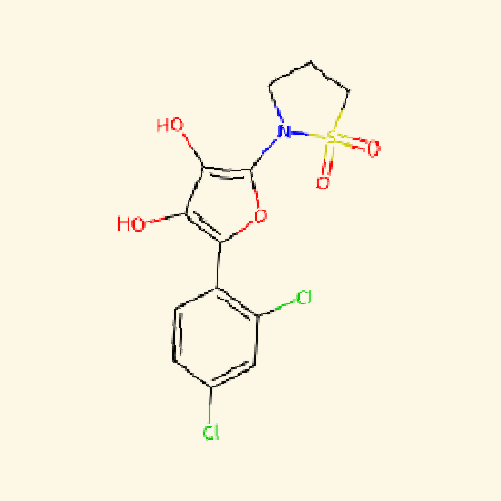 O=S1(=O)CCCN1c1oc(-c2ccc(Cl)cc2Cl)c(O)c1O